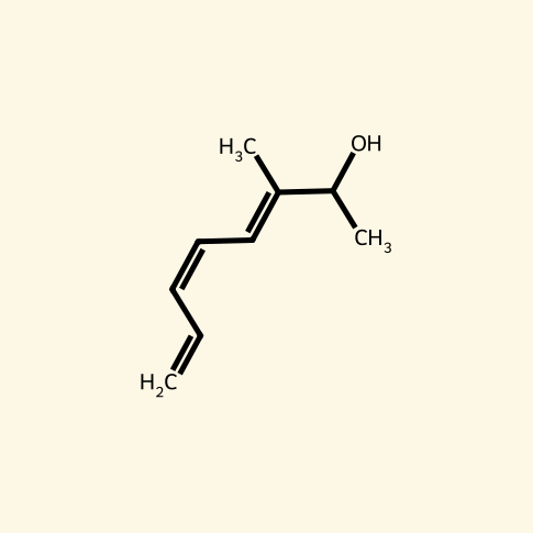 C=C/C=C\C=C(/C)C(C)O